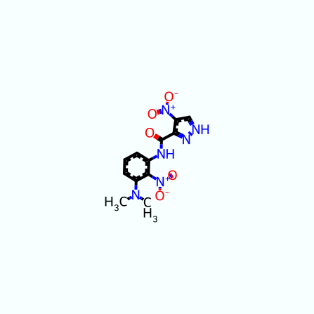 CN(C)c1cccc(NC(=O)c2n[nH]cc2[N+](=O)[O-])c1[N+](=O)[O-]